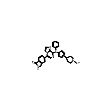 CC(C)N1CCC(c2ccc(N(c3ccccc3)c3ncc(-c4ccc5c(c4)CNC5=O)n4ccnc34)cc2)CC1